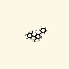 Cc1c(-c2ccccc2)ncc(Cl)c1-c1ccccc1